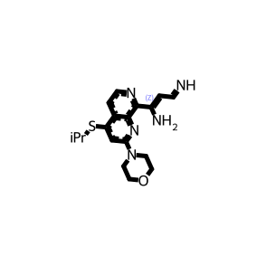 CC(C)Sc1cc(N2CCOCC2)nc2c(/C(N)=C/C=N)nccc12